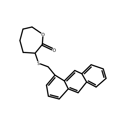 O=C1OCCCCC1SCc1cccc2cc3ccccc3cc12